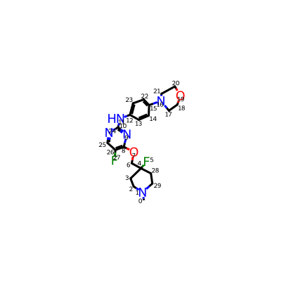 CN1CCC(F)(COc2nc(Nc3ccc(N4CCOCC4)cc3)ncc2F)CC1